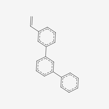 C=Cc1cccc(-c2cccc(-c3ccccc3)c2)c1